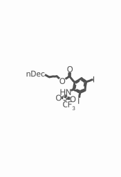 CCCCCCCCCCCCOC(=O)c1cc(I)cc(I)c1NS(=O)(=O)C(F)(F)F